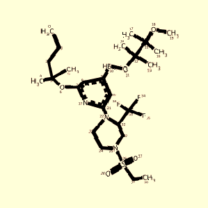 CCCC(C)(C)Oc1cc(BOC(C)(C)C(C)(C)OC)cc(N2CCN(S(=O)(=O)CC)CC2C(F)(F)F)n1